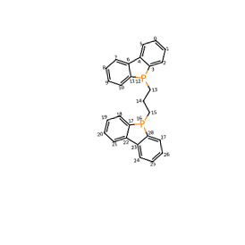 c1ccc2c(c1)c1ccccc1p2CCCp1c2ccccc2c2ccccc21